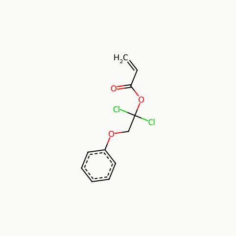 C=CC(=O)OC(Cl)(Cl)COc1ccccc1